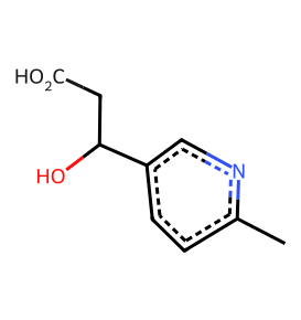 Cc1ccc(C(O)CC(=O)O)cn1